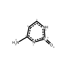 Nc1cc[nH][14c](=O)n1